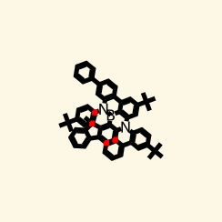 CC(C)(C)c1ccc(N2B3c4c(cc(C(C)(C)C)cc4N(c4ccc(C(C)(C)C)cc4-c4ccccc4)c4ccc5c(c43)C(C)(C)c3ccccc3-5)-c3ccc(-c4ccccc4)cc32)cc1